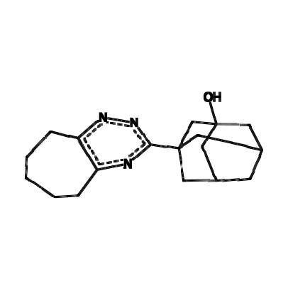 OC12CC3CC(C1)CC(c1nnc4c(n1)CCCCC4)(C3)C2